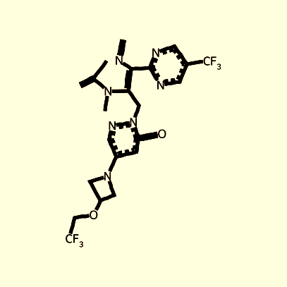 C=N/C(=C(/Cn1ncc(N2CC(OCC(F)(F)F)C2)cc1=O)N(C)C(=C)C)c1ncc(C(F)(F)F)cn1